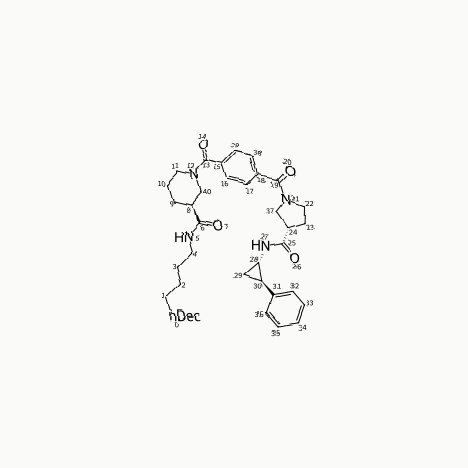 CCCCCCCCCCCCCCNC(=O)[C@H]1CCCN(C(=O)c2ccc(C(=O)N3CC[C@H](C(=O)N[C@H]4C[C@@H]4c4ccccc4)C3)cc2)C1